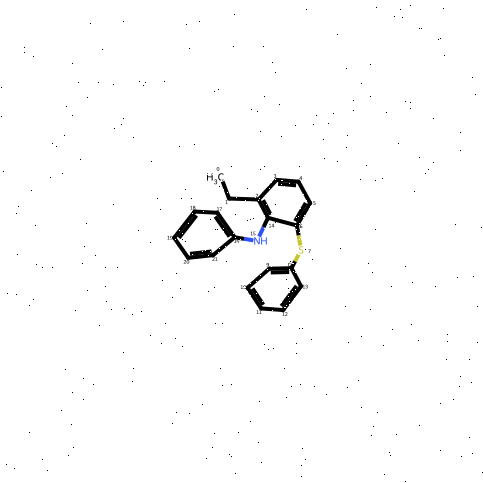 CCc1cccc(Sc2ccccc2)c1Nc1ccccc1